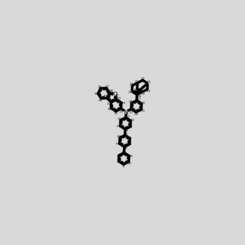 c1ccc(-c2ccc(-c3ccc(N(c4cccc(C5C6CC7CC(C6)CC5C7)c4)c4ccc5c(c4)oc4ccccc45)cc3)cc2)cc1